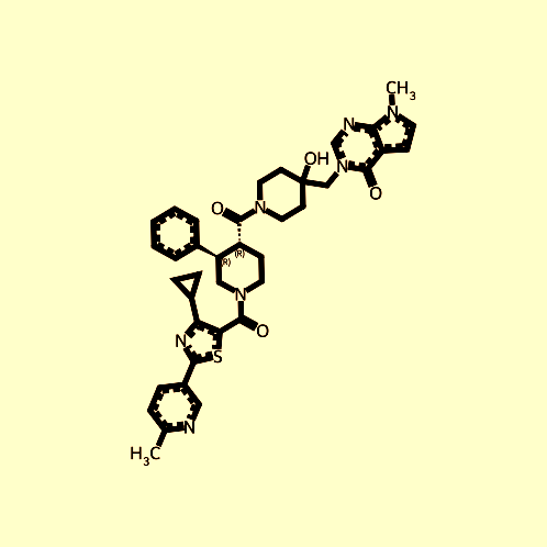 Cc1ccc(-c2nc(C3CC3)c(C(=O)N3CC[C@@H](C(=O)N4CCC(O)(Cn5cnc6c(ccn6C)c5=O)CC4)[C@H](c4ccccc4)C3)s2)cn1